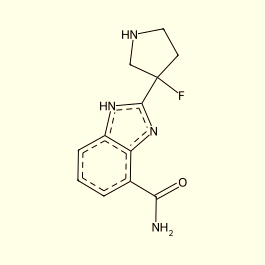 NC(=O)c1cccc2[nH]c(C3(F)CCNC3)nc12